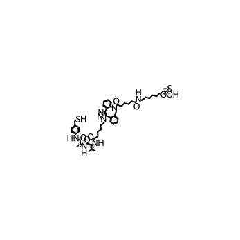 CC(C)[C@H](NC(=O)CCCCCn1nnc2c1-c1ccccc1CN(C(=O)CCCCC(=O)NCCCCCCOP(C)(O)=S)c1ccccc1-2)C(=O)N[C@@H](C)C(=O)Nc1ccc(CS)cc1